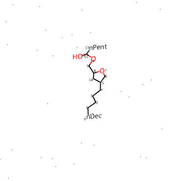 CCCCCCCCCCCCCCC1COC(COC(O)CCCCC)C1